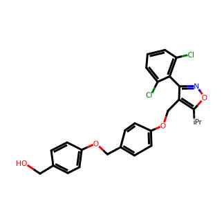 CC(C)c1onc(-c2c(Cl)cccc2Cl)c1COc1ccc(COc2ccc(CO)cc2)cc1